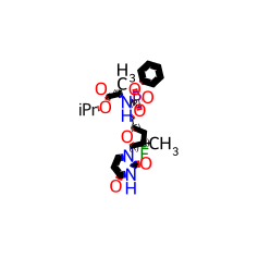 CC(C)OC(=O)[C@@H](C)N[P@@](=O)(OC[C@@H]1C[C@@](C)(F)[C@H](n2ccc(=O)[nH]c2=O)O1)Oc1ccccc1